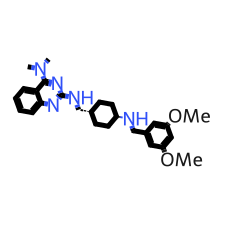 COc1cc(CN[C@H]2CC[C@@H](CNc3nc(N(C)C)c4ccccc4n3)CC2)cc(OC)c1